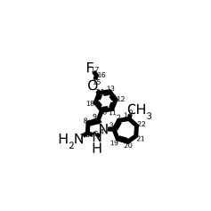 CC1C=C(N2NC(N)C=C2c2cccc(OCF)c2)C=CCC1